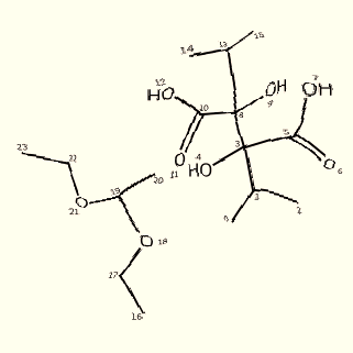 CC(C)C(O)(C(=O)O)C(O)(C(=O)O)C(C)C.CCOC(C)OCC